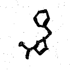 O=[N+]([O-])c1c[c]n(Cc2ccccc2)n1